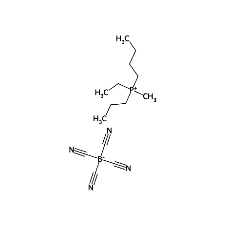 CCCC[P+](C)(CC)CCC.N#C[B-](C#N)(C#N)C#N